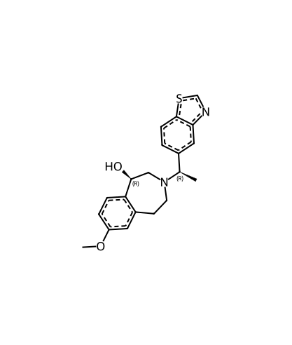 COc1ccc2c(c1)CCN([C@H](C)c1ccc3scnc3c1)C[C@@H]2O